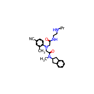 Cc1cc(C#N)ccc1N(CC(=O)NCCNC(C)C)CC(=O)N(C)C1Cc2ccccc2C1